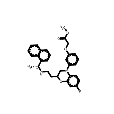 COC(=O)COc1cccc(N2CC(CCN[C@H](C)c3cccc4ccccc34)Oc3cc(F)ccc32)c1